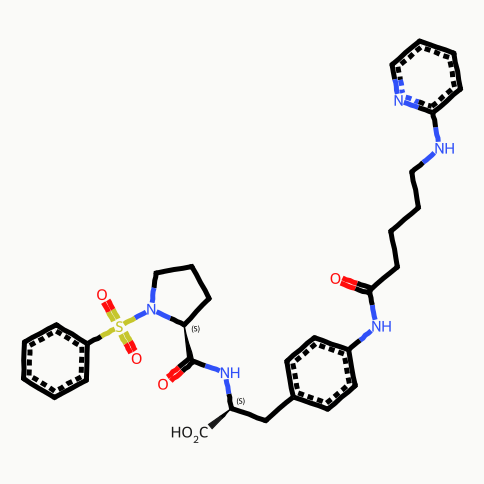 O=C(CCCCNc1ccccn1)Nc1ccc(C[C@H](NC(=O)[C@@H]2CCCN2S(=O)(=O)c2ccccc2)C(=O)O)cc1